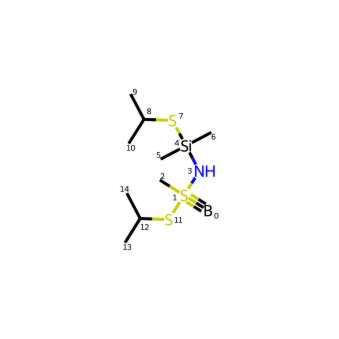 B#S(C)(N[Si](C)(C)SC(C)C)SC(C)C